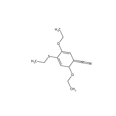 CCOC1=CC(=[N+]=[N-])C(OCC)C=C1SCC